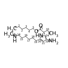 CCCCCCOC(=O)CCC.CNCCCCCCc1cc(N)c[nH]1